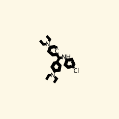 CCN(CC)c1ccc(C(Nc2ccc(Cl)cc2)c2ccc(N(CC)CC)cc2)cc1